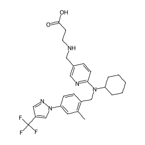 Cc1cc(-n2cc(C(F)(F)F)cn2)ccc1CN(c1ccc(CNCCC(=O)O)cn1)C1CCCCC1